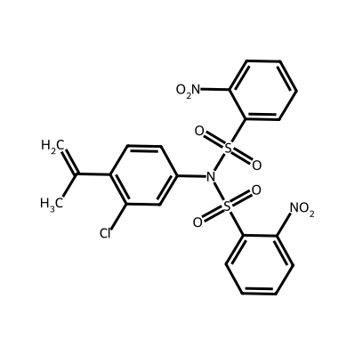 C=C(C)c1ccc(N(S(=O)(=O)c2ccccc2[N+](=O)[O-])S(=O)(=O)c2ccccc2[N+](=O)[O-])cc1Cl